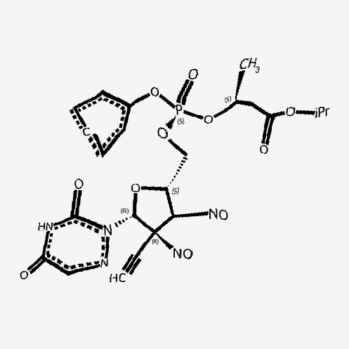 C#C[C@@]1(N=O)C(N=O)[C@@H](CO[P@](=O)(Oc2ccccc2)O[C@@H](C)C(=O)OC(C)C)O[C@H]1n1ncc(=O)[nH]c1=O